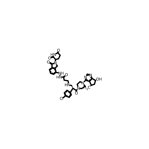 C[C@@H]1C[C@@H](O)c2ncnc(N3CCN(C(=O)[C@H](CNCCC(=O)NNc4cccc5c4CN(C4CCC(=O)NC4=O)C5=O)c4ccc(Cl)cc4)CC3)c21